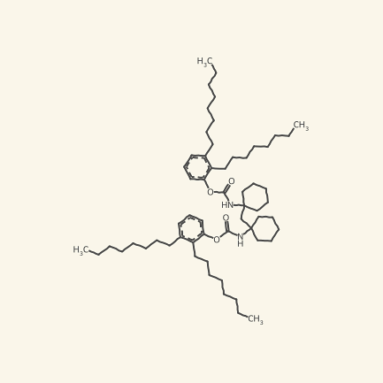 CCCCCCCCc1cccc(OC(=O)NC2(CC3(NC(=O)Oc4cccc(CCCCCCCC)c4CCCCCCCC)CCCCC3)CCCCC2)c1CCCCCCCC